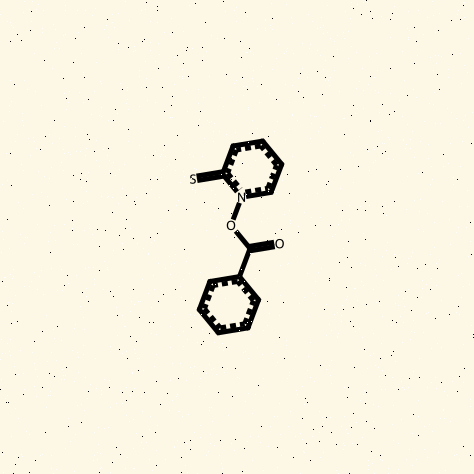 O=C(On1ccccc1=S)c1ccccc1